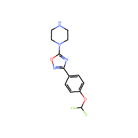 FC(F)Oc1ccc(-c2noc(N3CCNCC3)n2)cc1